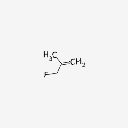 C=C(C)CF